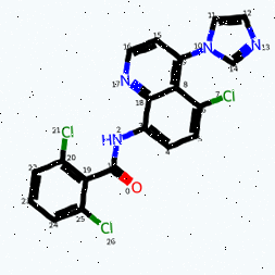 O=C(Nc1ccc(Cl)c2c(-n3ccnc3)ccnc12)c1c(Cl)cccc1Cl